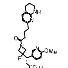 COc1ccc([C@H](CC(=O)O)C2(F)CN(C(=O)CCCc3ccc4c(n3)NCCC4)C2)cn1